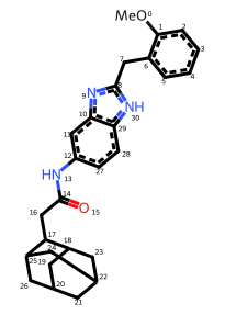 COc1ccccc1Cc1nc2cc(NC(=O)CC3C4CC5CC(C4)CC3C5)ccc2[nH]1